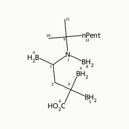 BC(CC(B)(B)C(=O)O)N(B)C(C)(C)CCCCC